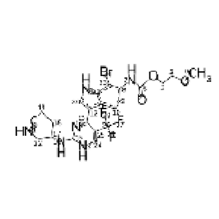 COCCOC(=O)Nc1ccc2c(C3=NC(NC4CCCNC4)NC=C3C(F)(F)F)c[nH]c2c1Br